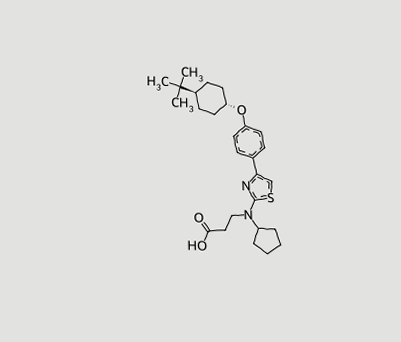 CC(C)(C)[C@H]1CC[C@H](Oc2ccc(-c3csc(N(CCC(=O)O)C4CCCC4)n3)cc2)CC1